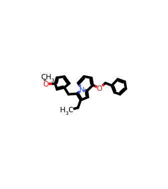 CCc1cc2c(OCc3ccccc3)cccn2c1Cc1cccc(OC)c1